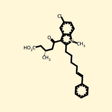 C[C@H](CC(=O)O)CC(=O)c1c(CCCC/C=C/c2ccccc2)n(C)c2ccc(Cl)cc12